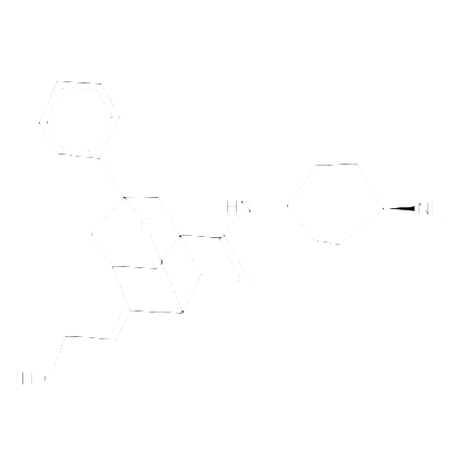 CCC=C1C2CC3(C(=O)N[C@H]4CC[C@H](N)CC4)CC1CC(c1ccccc1)(C2)C3